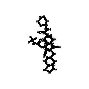 CC(C)(C)OC(=O)Cn1c(=O)n(Cc2ccc3c(c2)OCO3)c(=O)c2ccc(C(=O)NC3CCCCC3)cc21